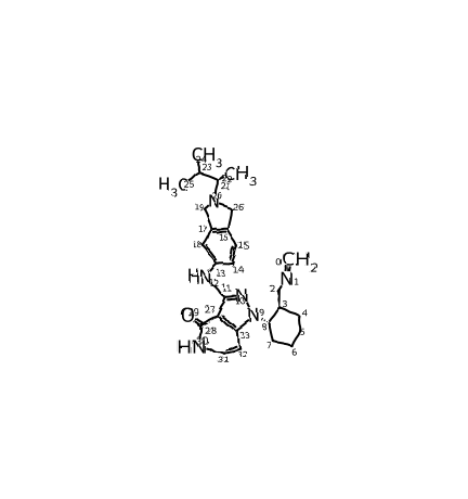 C=NC[C@H]1CCCC[C@@H]1n1nc(Nc2ccc3c(c2)CN([C@H](C)C(C)C)C3)c2c(=O)[nH]ccc21